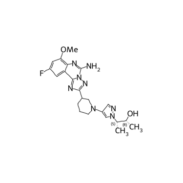 COc1cc(F)cc2c1nc(N)n1nc(C3CCCN(c4cnn([C@@H](C)[C@@H](C)O)c4)C3)nc21